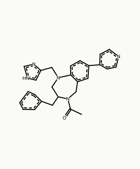 CC(=O)N1Cc2cc(-c3ccncc3)ccc2N(Cc2c[nH]cn2)CC1Cc1ccccc1